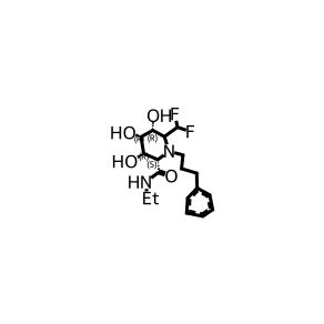 CCNC(=O)[C@@H]1[C@@H](O)[C@@H](O)[C@H](O)C(C(F)F)N1CCCc1ccccc1